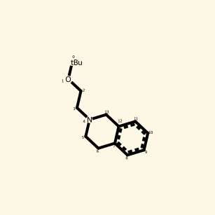 CC(C)(C)OCCN1CCc2ccccc2C1